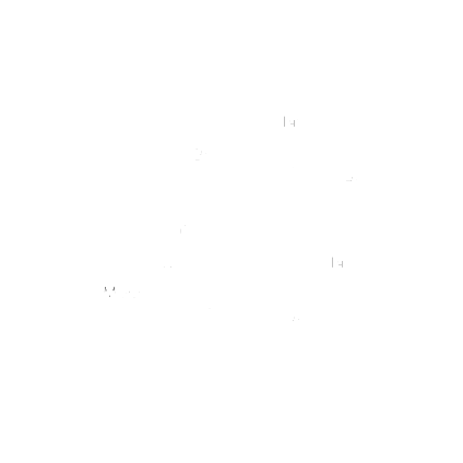 C=C(C(=O)OC)C(Br)c1cc(Br)c(Br)c(Br)c1Br